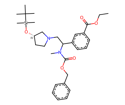 CCOC(=O)c1cccc(C(CN2CC[C@H](O[Si](C)(C)C(C)(C)C)C2)N(C)C(=O)OCc2ccccc2)c1